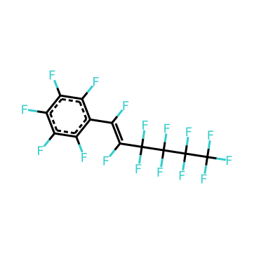 FC(=C(F)C(F)(F)C(F)(F)C(F)(F)C(F)(F)F)c1c(F)c(F)c(F)c(F)c1F